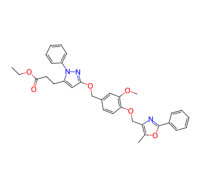 CCOC(=O)CCc1cc(OCc2ccc(OCc3nc(-c4ccccc4)oc3C)c(OC)c2)nn1-c1ccccc1